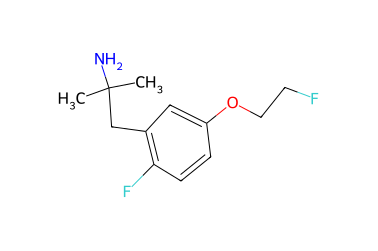 CC(C)(N)Cc1cc(OCCF)ccc1F